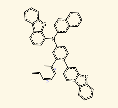 C=C/C=C\C=C(/C)c1cc(N(c2ccc3ccccc3c2)c2cccc3c2sc2ccccc23)ccc1-c1ccc2c(c1)oc1ccccc12